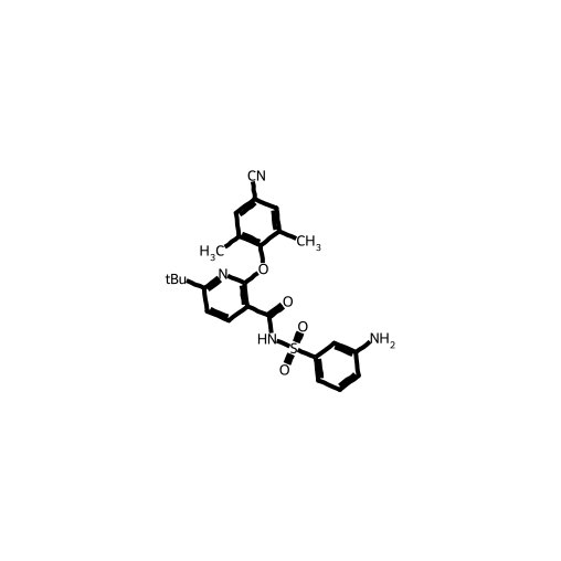 Cc1cc(C#N)cc(C)c1Oc1nc(C(C)(C)C)ccc1C(=O)NS(=O)(=O)c1cccc(N)c1